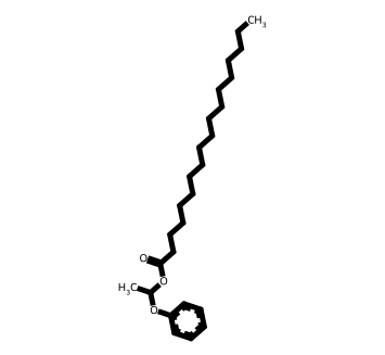 CCCCCCCCCCCCCCCCCC(=O)OC(C)Oc1ccccc1